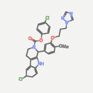 COc1ccc(C2c3[nH]c4c(c3CCN2C(=O)Oc2ccc(Cl)cc2)=CC(Cl)CC=4)cc1OCCCn1cncn1